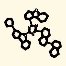 c1ccc(-c2ccc3c4ccccc4n(-c4nc(-c5cccc6c(-c7cccc8ccccc78)cccc56)nc(-c5cccc6oc7ccccc7c56)n4)c3c2)cc1